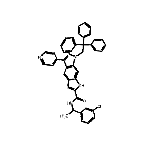 CC(NC(=O)c1nc2cc3c(-c4ccncc4)nn(CC(c4ccccc4)(c4ccccc4)c4ccccc4)c3cc2[nH]1)c1cccc(Cl)c1